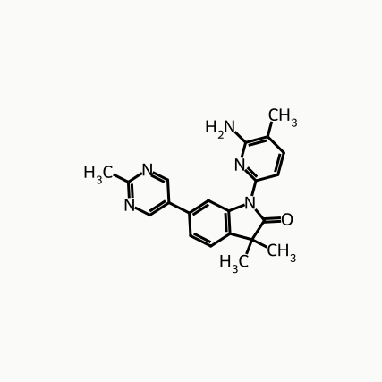 Cc1ncc(-c2ccc3c(c2)N(c2ccc(C)c(N)n2)C(=O)C3(C)C)cn1